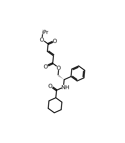 CC(C)OC(=O)/C=C/C(=O)OC[C@@H](NC(=O)C1CCCCC1)c1ccccc1